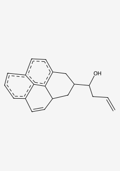 C=CCC(O)C1Cc2ccc3cccc4c3c2C(C=C4)C1